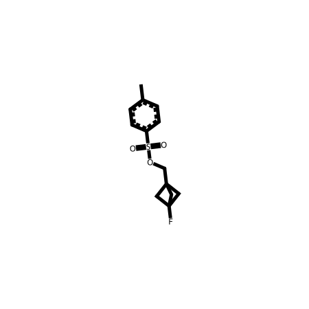 Cc1ccc(S(=O)(=O)OCC23CC(F)(C2)C3)cc1